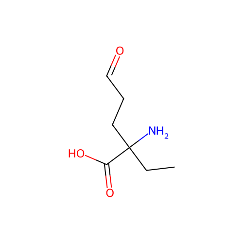 CCC(N)(CCC=O)C(=O)O